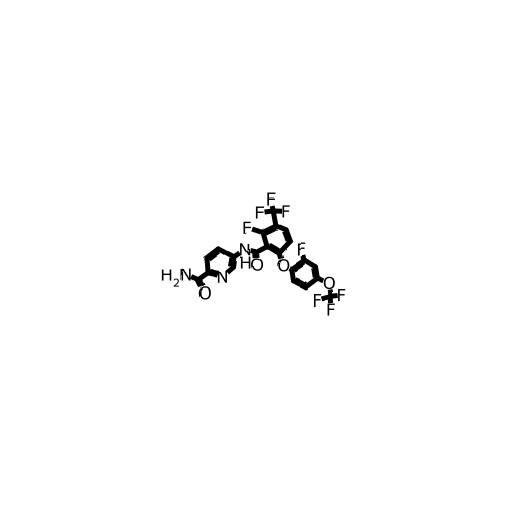 NC(=O)c1ccc(NC(=O)c2c(Oc3ccc(OC(F)(F)F)cc3F)ccc(C(F)(F)F)c2F)cn1